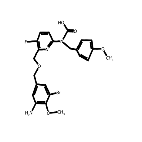 COc1ccc(CN(C(=O)O)c2ccc(F)c(COCc3cc(N)c(OC)c(Br)c3)n2)cc1